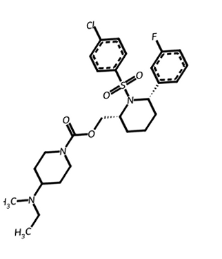 CCN(C)C1CCN(C(=O)OC[C@H]2CCC[C@@H](c3cccc(F)c3)N2S(=O)(=O)c2ccc(Cl)cc2)CC1